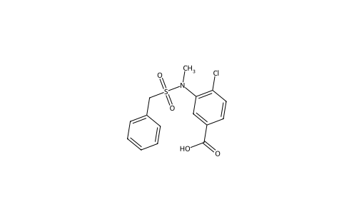 CN(c1cc(C(=O)O)ccc1Cl)S(=O)(=O)Cc1ccccc1